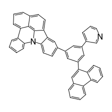 c1cncc(-c2cc(-c3ccc4c(c3)c3ccc5cccc6c7ccccc7n4c3c56)cc(-c3cc4ccccc4c4ccccc34)c2)c1